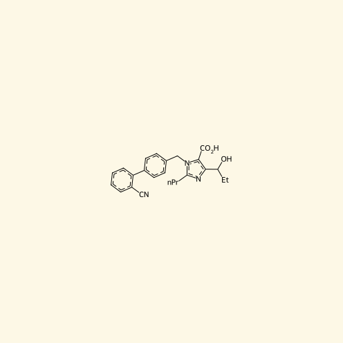 CCCc1nc(C(O)CC)c(C(=O)O)n1Cc1ccc(-c2ccccc2C#N)cc1